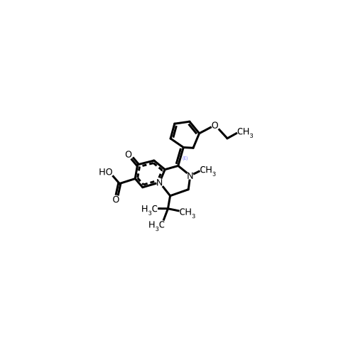 CCOC1=CC=C/C(=C2\c3cc(=O)c(C(=O)O)cn3C(C(C)(C)C)CN2C)C1